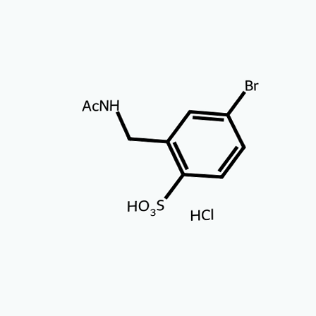 CC(=O)NCc1cc(Br)ccc1S(=O)(=O)O.Cl